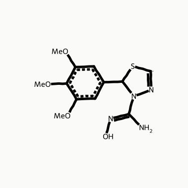 COc1cc(C2S[C]=NN2C(N)=NO)cc(OC)c1OC